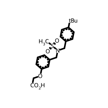 CC(C)(C)c1ccc(CN(Cc2cccc(OCC(=O)O)c2)S(C)(=O)=O)cc1